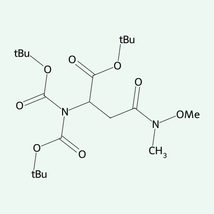 CON(C)C(=O)CC(C(=O)OC(C)(C)C)N(C(=O)OC(C)(C)C)C(=O)OC(C)(C)C